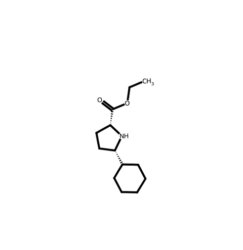 CCOC(=O)[C@H]1CC[C@@H](C2CCCCC2)N1